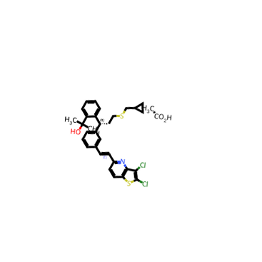 CC(=O)O.CC(C)(O)c1ccccc1[C@H](CCSCC1CC1)c1cccc(/C=C/c2ccc3sc(Cl)c(Cl)c3n2)c1